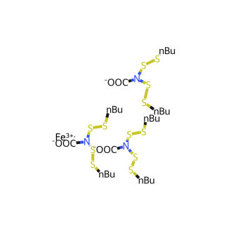 CCCCSSN(SSCCCC)C(=O)[O-].CCCCSSN(SSCCCC)C(=O)[O-].CCCCSSN(SSCCCC)C(=O)[O-].[Fe+3]